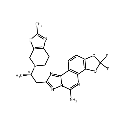 Cc1nc2c(o1)CN([C@H](C)Cc1nc3c4ccc5c(c4nc(N)n3n1)OC(F)(F)O5)CC2